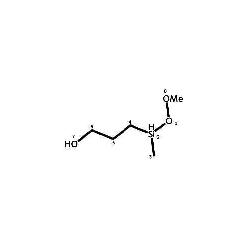 COO[SiH](C)CCCO